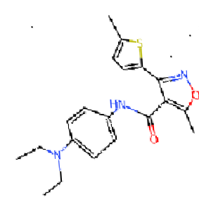 CCN(CC)c1ccc(NC(=O)c2c(-c3ccc(C)s3)noc2C)cc1